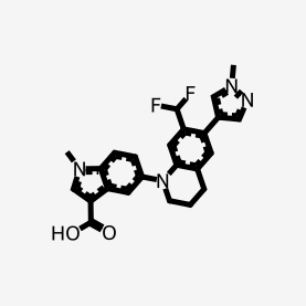 Cn1cc(-c2cc3c(cc2C(F)F)N(c2ccc4c(c2)c(C(=O)O)cn4C)CCC3)cn1